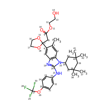 Cc1cc2c(cc1C1(CC(=O)OCCO)OCCO1)nc(Nc1ccc(OC(F)(F)F)cc1)n2C1CC(C)(C)CC(C)(C)C1